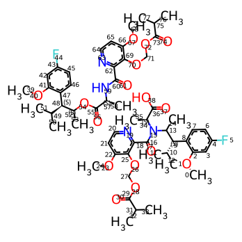 COc1cc(F)ccc1[C@H](C(C)C)C(C)N(C(=O)c1nccc(OC)c1OCOC(=O)C(C)C)[C@@H](C)C(=O)O.COc1cc(F)ccc1[C@H](C(C)C)[C@H](C)OC(=O)[C@H](C)NC(=O)c1nccc(OC)c1OCOC(=O)C(C)C